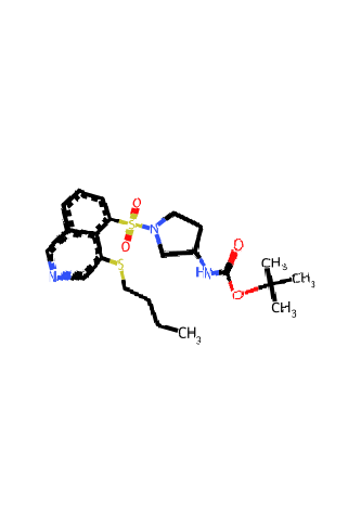 CCCCSc1cncc2cccc(S(=O)(=O)N3CCC(NC(=O)OC(C)(C)C)C3)c12